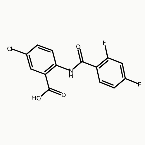 O=C(Nc1ccc(Cl)cc1C(=O)O)c1ccc(F)cc1F